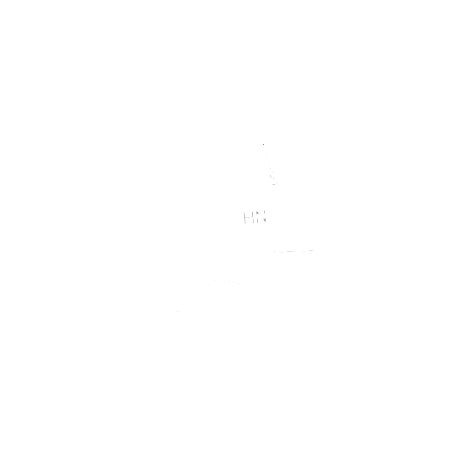 CC(C)CCC(C)NSC(C)(C)C